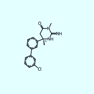 CN1C(=N)N[C@](C)(c2cccc(-c3cccc(Cl)c3)c2)CC1=O